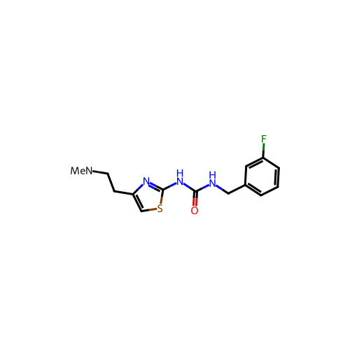 CNCCc1csc(NC(=O)NCc2cccc(F)c2)n1